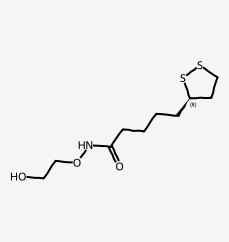 O=C(CCCC[C@@H]1CCSS1)NOCCO